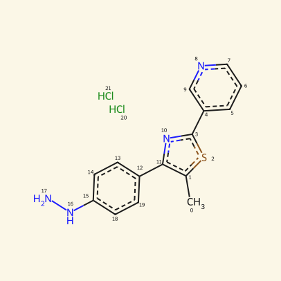 Cc1sc(-c2cccnc2)nc1-c1ccc(NN)cc1.Cl.Cl